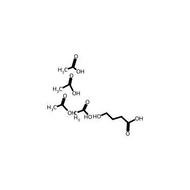 CC(=O)O.CC(=O)O.CC(=O)O.CC(=O)O.O=C(O)CCCO